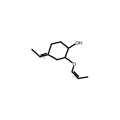 C/C=C\OC1C/C(=C/C)CCC1O